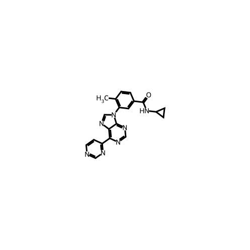 Cc1ccc(C(=O)NC2CC2)cc1-n1cnc2c(-c3ccncn3)ncnc21